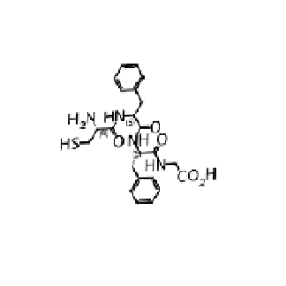 N[C@@H](CS)C(=O)N[C@@H](Cc1ccccc1)C(=O)N[C@@H](Cc1ccccc1)C(=O)NCC(=O)O